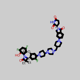 CCC1(CC)C(=O)N(c2cc(F)cc(F)c2O)[C@H]1c1cc(F)c(N2CCC(N3CCN(CC4CCN(c5ccc6c(c5)CN([C@H]5CCC(=O)NC5=O)C6=O)CC4)CC3)CC2)cc1OC